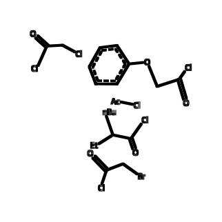 CC(=O)Cl.CCCCC(CC)C(=O)Cl.O=C(Cl)CBr.O=C(Cl)CCl.O=C(Cl)COc1ccccc1